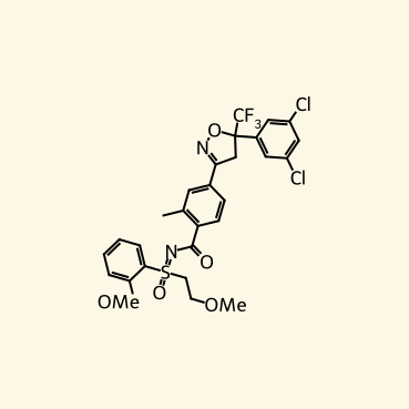 COCCS(=O)(=NC(=O)c1ccc(C2=NOC(c3cc(Cl)cc(Cl)c3)(C(F)(F)F)C2)cc1C)c1ccccc1OC